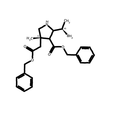 B[C@H](C)C1NC[C@@](C)(CC(=O)OCc2ccccc2)C1C(=O)OCc1ccccc1